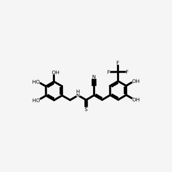 N#C/C(=C\c1cc(O)c(O)c(C(F)(F)F)c1)C(=S)NCc1cc(O)c(O)c(O)c1